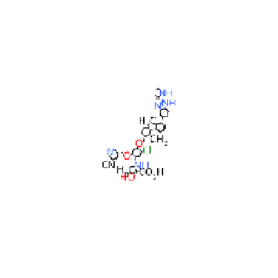 Cc1c(COc2cc(OCc3cncc(C#N)c3)c(CNC(C)(CO)C(=O)O)cc2Cl)cccc1-c1cccc(-c2ccc3[nH]c([C@@H]4CCCN4)nc3c2)c1C